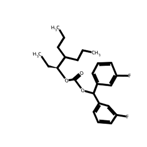 CCCC(CCC)[C@H](CC)OC(=O)OC(c1cccc(F)c1)c1cccc(F)c1